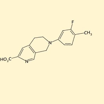 Cc1ccc(N2CCc3cc(C(=O)O)ncc3C2)cc1F